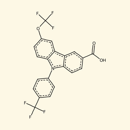 O=C(O)c1ccc2c(c1)c1cc(OC(F)(F)F)ccc1n2-c1ccc(C(F)(F)F)cc1